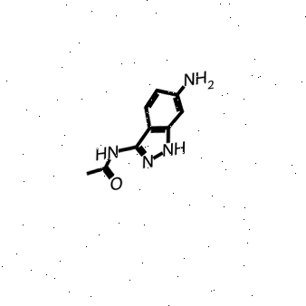 CC(=O)Nc1n[nH]c2cc(N)ccc12